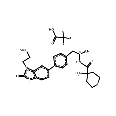 COCCn1c(=O)sc2ccc(-c3ccc(C[C@@H](C#N)NC(=O)C4(N)CCOCC4)cc3)cc21.O=C(O)C(F)(F)F